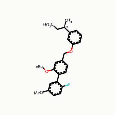 CCCCOc1cc(COc2cccc([C@H](C)CC(=O)O)c2)ccc1-c1cc(OC)ccc1F